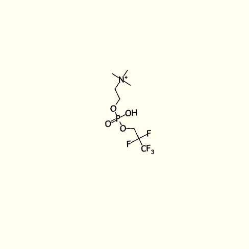 C[N+](C)(C)CCOP(=O)(O)OCC(F)(F)C(F)(F)F